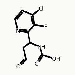 O=CCC(NC(=O)O)c1nccc(Cl)c1F